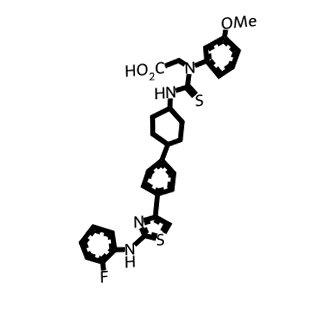 COc1cccc(N(CC(=O)O)C(=S)NC2CCC(c3ccc(-c4csc(Nc5ccccc5F)n4)cc3)CC2)c1